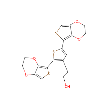 OCCc1cc(-c2scc3c2OCCO3)sc1-c1scc2c1OCCO2